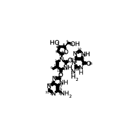 Cc1cn([C@H]2C[C@H](O)[C@@H](CO)O2)c(=O)[nH]c1=O.Nc1nc2nc[nH]c2c(=O)[nH]1.Nc1ncnc2nc[nH]c12